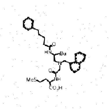 CCC(C)C(CN(CC(=O)NC(CCSC)C(=O)O)Cc1cccc2ccccc12)NC(=O)CCCCc1ccccc1